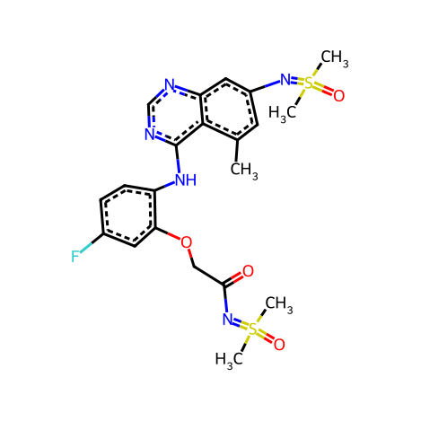 Cc1cc(N=S(C)(C)=O)cc2ncnc(Nc3ccc(F)cc3OCC(=O)N=S(C)(C)=O)c12